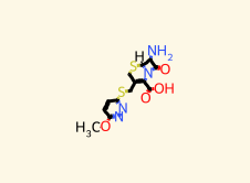 COc1ccc(SCC2=C(C(=O)O)N3C(=O)C(N)[C@@H]3SC2)nn1